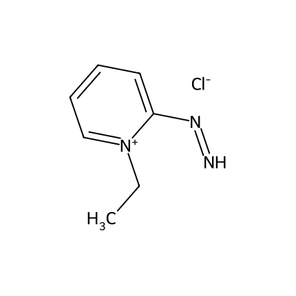 CC[n+]1ccccc1N=N.[Cl-]